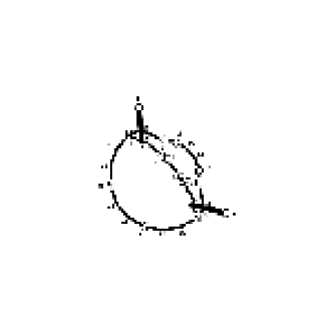 O=C1COCCSCC(=O)N2CCOCCOCCN1CCSCCSCC2